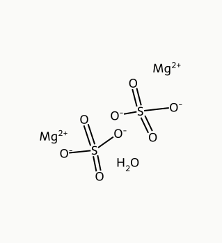 O.O=S(=O)([O-])[O-].O=S(=O)([O-])[O-].[Mg+2].[Mg+2]